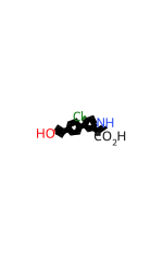 O=C(O)c1c[nH]c2cc(Cl)c(-c3ccc(C4CC(O)C4)cc3)cc12